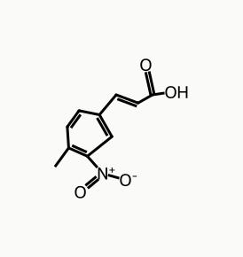 Cc1ccc(/C=C/C(=O)O)cc1[N+](=O)[O-]